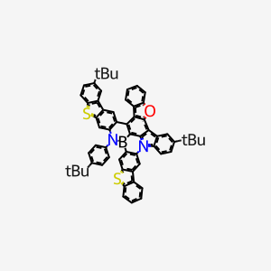 CC(C)(C)c1ccc(N2B3c4cc5sc6ccccc6c5cc4-n4c5ccc(C(C)(C)C)cc5c5c6oc7ccccc7c6c(c3c54)-c3cc4c(cc32)sc2ccc(C(C)(C)C)cc24)cc1